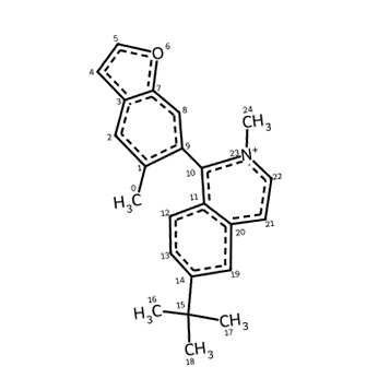 Cc1cc2ccoc2cc1-c1c2ccc(C(C)(C)C)cc2cc[n+]1C